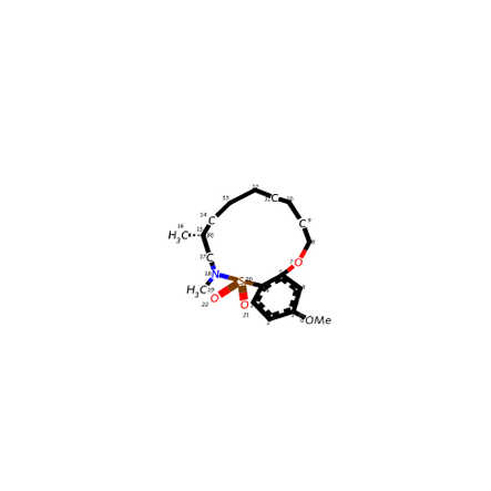 COc1ccc2c(c1)OCCCCCCC[C@@H](C)CN(C)S2(=O)=O